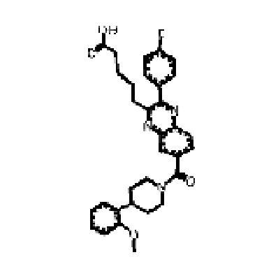 COc1ccccc1C1CCN(C(=O)c2ccc3nc(-c4ccc(F)cc4)c(CCCCC(=O)O)nc3c2)CC1